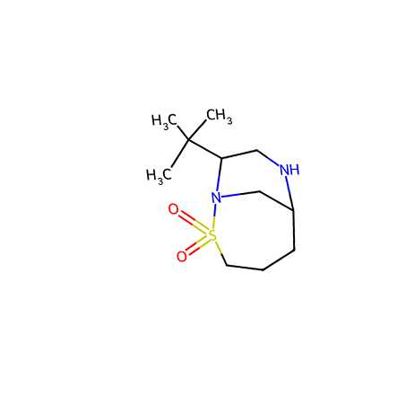 CC(C)(C)C1CNC2CCCS(=O)(=O)N1C2